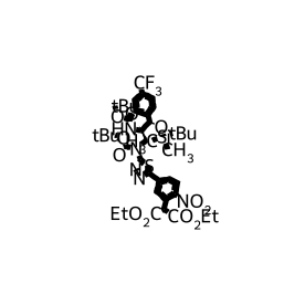 CCOC(=O)C(C(=O)OCC)c1cc(-c2nnc(N(C[C@@H](NC(=O)OC(C)(C)C)[C@@H](O[Si](C)(C)C(C)(C)C)c3ccc(C(F)(F)F)cc3)C(=O)OC(C)(C)C)s2)ccc1[N+](=O)[O-]